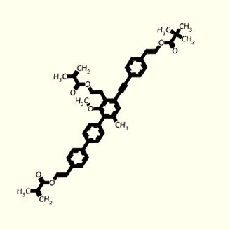 C=C(C)C(=O)O/C=C/c1ccc(-c2ccc(-c3c(C)cc(C#Cc4ccc(/C=C/OC(=O)C(C)(C)C)cc4)c(CCOC(=O)C(=C)C)c3OC)cc2)cc1